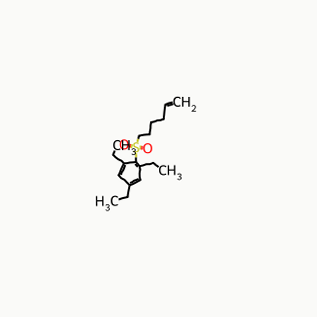 C=CCCCCS(=O)(=O)c1c(CC)cc(CC)cc1CC